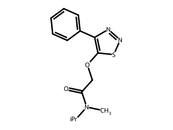 CC(C)N(C)C(=O)COc1snnc1-c1ccccc1